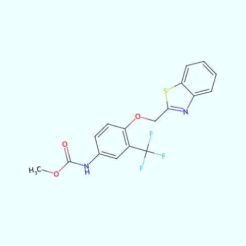 COC(=O)Nc1ccc(OCc2nc3ccccc3s2)c(C(F)(F)F)c1